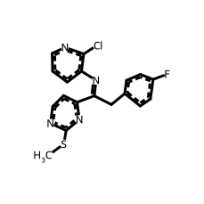 CSc1nccc(C(Cc2ccc(F)cc2)=Nc2cccnc2Cl)n1